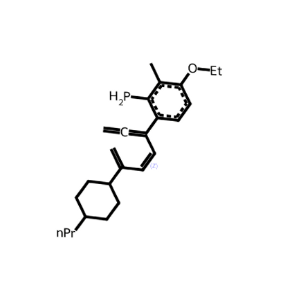 C=C=C(/C=C\C(=C)C1CCC(CCC)CC1)c1ccc(OCC)c(C)c1P